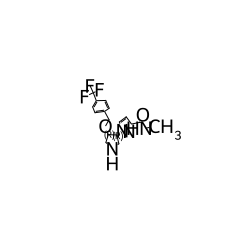 CNC(=O)c1ccn([C@@H]2CNC[C@H]2OCc2ccc(C(F)(F)F)cc2)n1